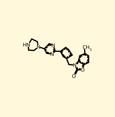 Cc1ccc2oc(=O)n(Cc3cccc(-c4ncc(N5CCNCC5)cn4)c3)c2c1